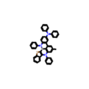 Cc1cc2c3c(c1)N(c1ccccc1)c1c(sc4ccccc14)B3N(c1ccccc1)c1ccc(N(c3ccccc3)c3ccccc3)cc1-2